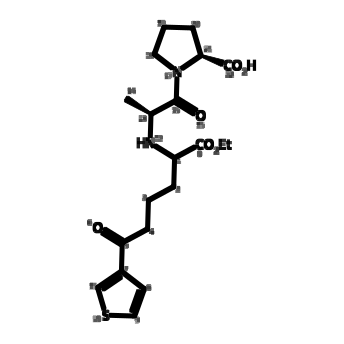 CCOC(=O)C(CCCC(=O)c1ccsc1)N[C@@H](C)C(=O)N1CCC[C@H]1C(=O)O